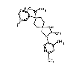 Cc1cc(C(F)(F)F)ncc1N1C[C@]2(CC[C@](c3cccc(F)c3)(N(C)C)CC2)NC1O